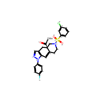 COC(=O)[C@]12Cc3cnn(-c4ccc(F)cc4)c3C=C1CCN(S(=O)(=O)c1cccc(Cl)c1)C2